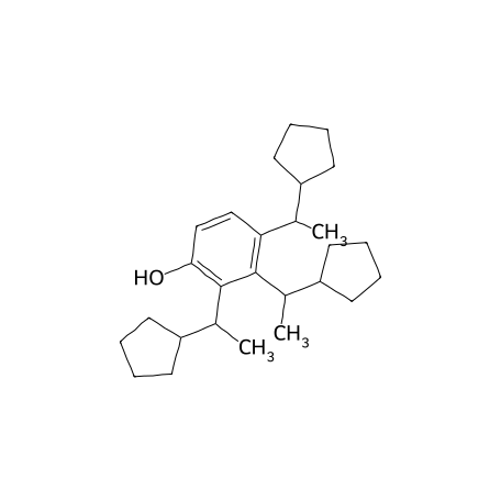 CC(c1ccc(O)c(C(C)C2CCCC2)c1C(C)C1CCCC1)C1CCCC1